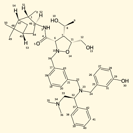 C[C@@H]1[C@@H](NC(=O)[C@@H]2[C@H]([C@H](C)O)[C@H](CO)ON2Cc2cccc(CN(Cc3cccc(O)c3)[C@H](CN(C)C)c3ccccc3)c2)C[C@H]2C[C@@H]1C2(C)C